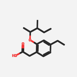 CCc1ccc(CC(=O)O)c(OC(C)C(C)CC)c1